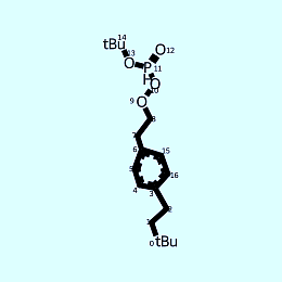 CC(C)(C)CCc1ccc(CCOO[PH](=O)OC(C)(C)C)cc1